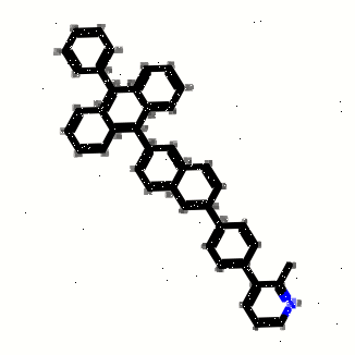 Cc1ncccc1-c1ccc(-c2ccc3cc(-c4c5ccccc5c(-c5ccccc5)c5ccccc45)ccc3c2)cc1